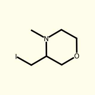 CN1CCOCC1CI